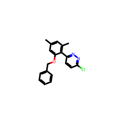 Cc1cc(C)c(-c2ccc(Cl)nn2)c(OCc2ccccc2)c1